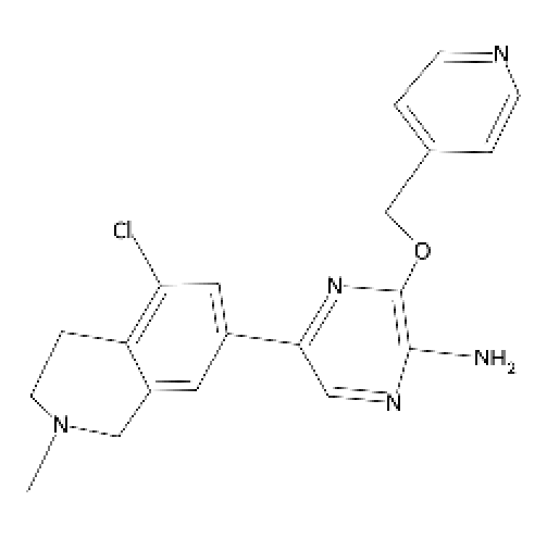 CN1CCc2c(Cl)cc(-c3cnc(N)c(OCc4ccncc4)n3)cc2C1